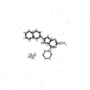 Cc1nc(N2CCCCC2)c2[nH]c(-c3ccc4ccccc4c3)cc2n1.Cl.O